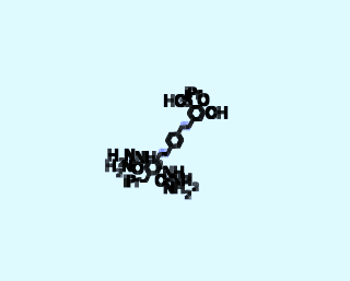 CC(C)Cc1c(OC(N)(N)N)cc(/C=C/c2ccc(/C=C/c3cc(O)c(OC(C)C)c(SO)c3)cc2)cc1OC(N)(N)N